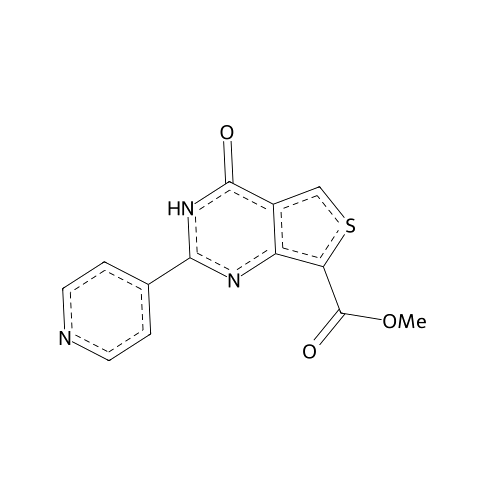 COC(=O)c1scc2c(=O)[nH]c(-c3ccncc3)nc12